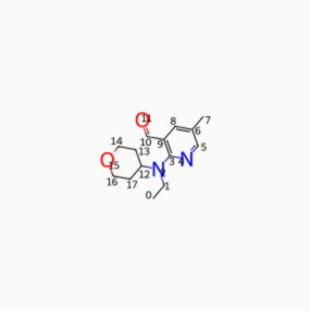 CCN(c1ncc(C)cc1C=O)C1CCOCC1